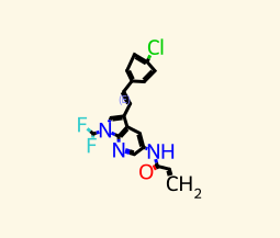 C=CC(=O)Nc1cnc2c(c1)c(/C=C/c1ccc(Cl)cc1)cn2C(F)F